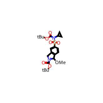 COC1c2ccc(S(=O)(=O)N(C(=O)OC(C)(C)C)C3CC3)cc2CN1C(=O)OC(C)(C)C